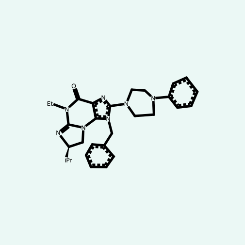 CCN1C(=O)c2nc(N3CCN(c4ccccc4)CC3)n(Cc3ccccc3)c2N2C[C@@H](C(C)C)N=C12